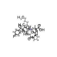 CCCCCC/C=C\C1C[C@]1(NC(=O)[C@@H]1CCCN1C(=O)CNC(=O)N[C@H](C(=O)c1ccc(F)cc1)C(C)C)C(=O)O